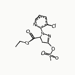 CCOC(=O)C1CC(OS(C)(=O)=O)=NN1c1ncccc1Cl